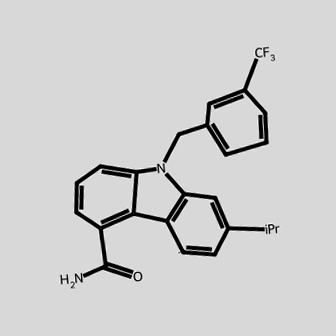 CC(C)c1c[c]c2c3c(C(N)=O)cccc3n(Cc3cccc(C(F)(F)F)c3)c2c1